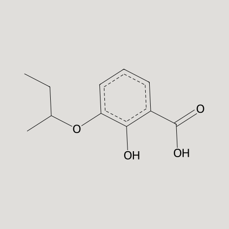 CCC(C)Oc1cccc(C(=O)O)c1O